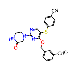 N#Cc1ccc(Sc2cnc(N3CCNC(=O)C3)nc2OCc2cccc(C=O)c2)cc1